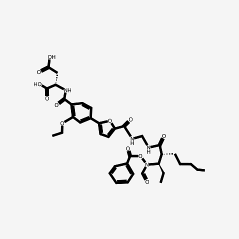 CCCCC[C@@H](C(=O)NCNC(=O)c1ccc(-c2ccc(C(=O)N[C@@H](CC(=O)O)C(=O)O)c(OCC)c2)o1)[C@@H](CC)N(C=O)OC(=O)c1ccccc1